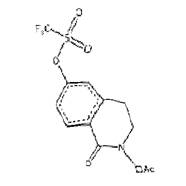 CC(=O)ON1CCc2cc(OS(=O)(=O)C(F)(F)F)ccc2C1=O